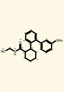 CSc1cccc(-c2ccccc2C2CCCCC2C(=O)NCC#N)c1